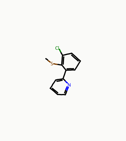 CSc1c(Cl)cccc1-c1ccccn1